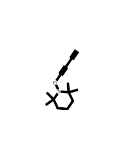 C#CC#CON1C(C)(C)CCCC1(C)C